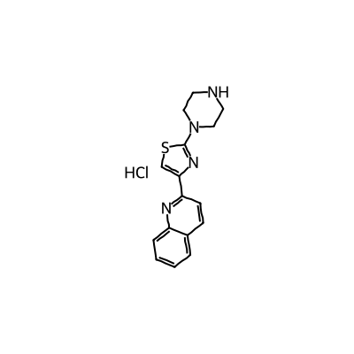 Cl.c1ccc2nc(-c3csc(N4CCNCC4)n3)ccc2c1